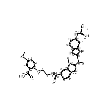 COc1ccc(OCCNC(=O)c2ccc3nc(C(C)c4nc5cc(NC(=N)N)ccc5[nH]4)n(C)c3c2)c(C(=O)O)c1